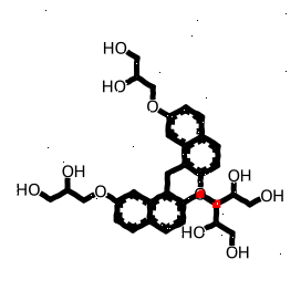 OCC(O)CCc1ccc2ccc(OCC(O)CO)cc2c1Cc1c(OCC(O)CO)ccc2ccc(OCC(O)CO)cc12